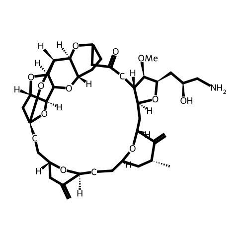 C=C1C[C@@H]2CC[C@@]34C[C@@H]5O[C@@H]6C(O[C@H]7CCC(CC(=O)C[C@@H]8[C@@H](OC)[C@@H](C[C@H](O)CN)O[C@H]8C[C@H]8O[C@@H](CC[C@@H]1O2)C[C@@H](C)C8=C)O[C@@H]7[C@@H]6O3)[C@H]5O4